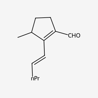 CCCC=CC1=C(C=O)CCC1C